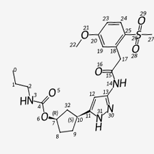 CCCNC(=O)O[C@@H]1CC[C@H](c2cc(NC(=O)Cc3cc(OC)ccc3S(C)(=O)=O)n[nH]2)C1